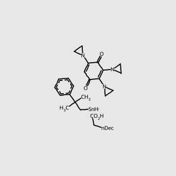 CC(C)([CH2][SnH])c1ccccc1.CCCCCCCCCCCC(=O)O.O=C1C=C(N2CC2)C(=O)C(N2CC2)=C1N1CC1